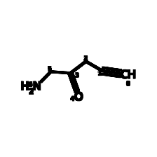 C#CCC(=O)CN